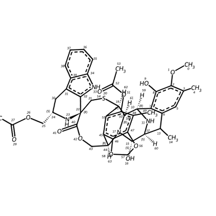 COc1c(C)cc2c(c1O)[C@H]1N[C@@H](C2C)[C@H](O)N2[C@H]1[C@@H]1SC[C@]3(N[C@H](COC(C)=O)Cc4c3[nH]c3ccccc43)C(=O)OC[C@H]2c2c3c(c(C)c(OC(C)=O)c21)OCO3